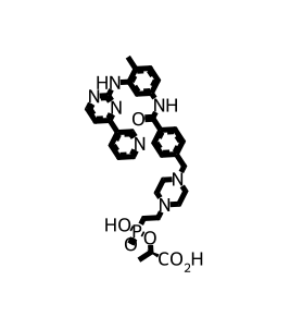 Cc1ccc(NC(=O)c2ccc(CN3CCN(CCP(=O)(O)O[C@H](C)C(=O)O)CC3)cc2)cc1Nc1nccc(-c2cccnc2)n1